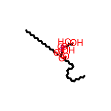 CCCCC/C=C\C/C=C\C/C=C\C/C=C\CCCC(=O)O[C@H](COCCCCCCCCCCCCCCCC)COP(=O)(O)OC[C@@H](O)CO